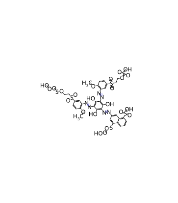 COc1ccc(S(=O)(=O)CCOSOOO)cc1/N=N/c1c(O)c(/N=N/c2cc(SOOO)c3cccc(S(=O)(=O)O)c3c2)c(O)c(/N=N/c2cc(S(=O)(=O)CCOS(=O)(=O)O)ccc2OC)c1O